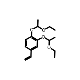 C=Cc1ccc(OC(C)OCC)c(OC(C)OCC)c1